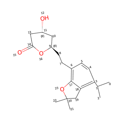 CC(C)c1ccc(CC[C@@H]2C[C@@H](O)CC(=O)O2)c2c1CC(C)(C)O2